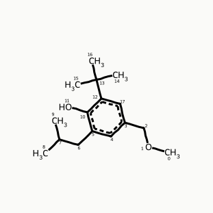 COCc1cc(CC(C)C)c(O)c(C(C)(C)C)c1